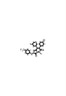 Cc1cncc(-c2c(-c3ccc(Cl)cc3)c(=O)n(C)n3c(=O)n(Cc4ccc(C(F)(F)F)nc4)nc23)c1